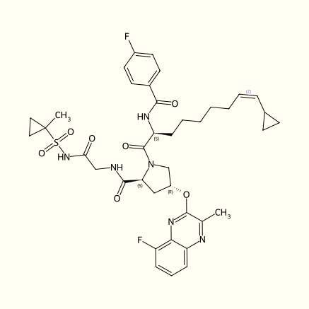 Cc1nc2cccc(F)c2nc1O[C@@H]1C[C@@H](C(=O)NCC(=O)NS(=O)(=O)C2(C)CC2)N(C(=O)[C@H](CCCCC/C=C\C2CC2)NC(=O)c2ccc(F)cc2)C1